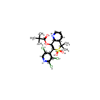 CC(C)(C)C(=O)OC1=C(c2c(Cl)cnc(Cl)c2Cl)S(=O)(=O)C(C)(C)c2cccnc21